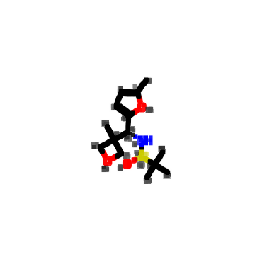 Cc1ccc([C@H](N[S@+]([O-])C(C)(C)C)C2(C)COC2)o1